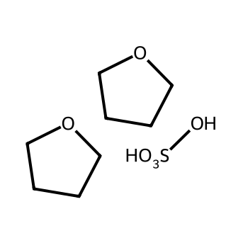 C1CCOC1.C1CCOC1.O=S(=O)(O)O